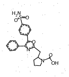 NS(=O)(=O)c1ccc(-c2oc(CC3CCCN3C(=O)O)nc2-c2ccccc2)cc1